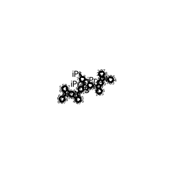 CC(C)c1cc(C(C)C)c(B2c3ccc(-n4c5ccccc5c5cc6c(cc54)c4ccccc4n6-c4ccccc4)cc3Sc3cc(-n4c5ccccc5c5cc6c(cc54)c4ccccc4n6-c4ccccc4)ccc32)c(C(C)C)c1